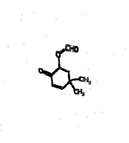 CC1(C)C=CC(=O)C(OC=O)C1